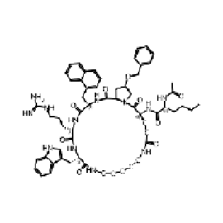 CCCC[C@H](NC(C)=O)C(=O)N[C@H]1CCC(=O)NCCCCCNC(=O)[C@H](Cc2c[nH]c3ccccc23)NC(=O)[C@H](CCCNC(=N)N)NC(=O)[C@@H](Cc2cccc3ccccc23)NC(=O)C2CC(OCc3ccccc3)CN2C1=O